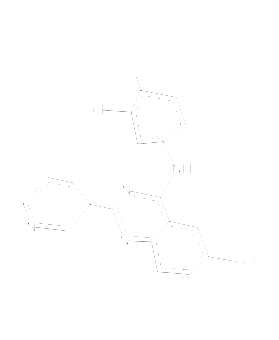 Oc1ccc2nc(-c3cccnc3)nc(Nc3ccc(F)c(Cl)c3)c2c1